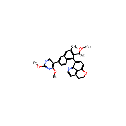 CCOc1ncc(-c2ccc3c(-c4ccc5c6c(ccnc46)CCO5)c(C(OC(C)(C)C)C(C)=O)c(C)cc3c2)c(OCC)n1